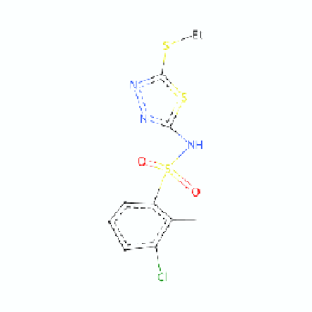 CCSc1nnc(NS(=O)(=O)c2cccc(Cl)c2C)s1